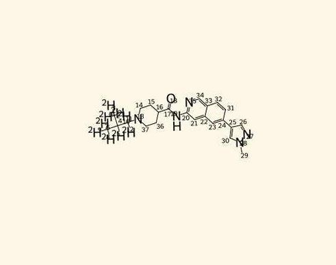 [2H]C([2H])([2H])C([2H])(C([2H])([2H])[2H])C([2H])([2H])N1CCC(C(=O)Nc2cc3cc(-c4cnn(C)c4)ccc3cn2)CC1